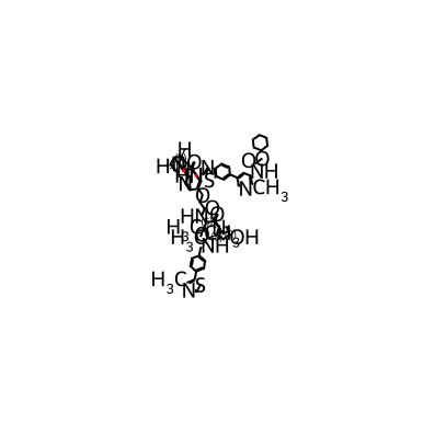 Cc1ncc(-c2ccc3nc(NC(=O)CN4[C@@H]5C[C@H]4CN(c4ncc(OCC(=O)N[C@H](C(=O)N6C[C@H](O)C[C@H]6C(=O)NCc6ccc(-c7scnc7C)cc6)C(C)(C)C)cn4)C5)sc3c2)cc1NC(=O)OC1CCCCC1